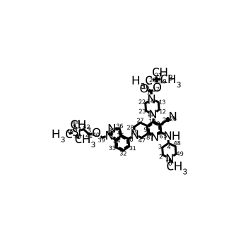 CN1CCC(Nc2nc3c(c(N4CCN(C(=O)OC(C)(C)C)CC4)c2C#N)CCN(c2cccc4c2cnn4COCC[Si](C)(C)C)C3)CC1